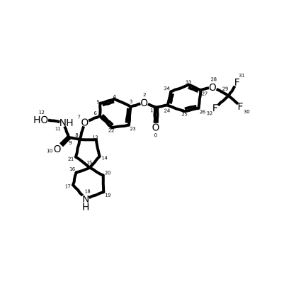 O=C(Oc1ccc(OC2(C(=O)NO)CCC3(CCNCC3)C2)cc1)c1ccc(OC(F)(F)F)cc1